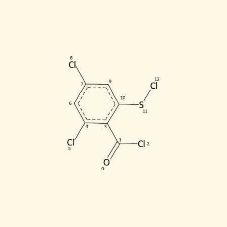 O=C(Cl)c1c(Cl)cc(Cl)cc1SCl